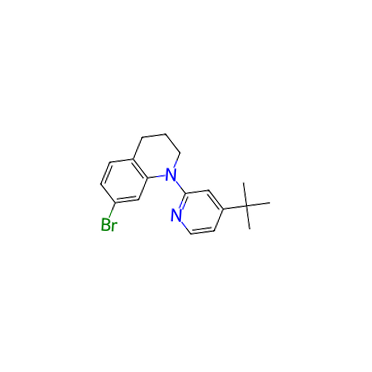 CC(C)(C)c1ccnc(N2CCCc3ccc(Br)cc32)c1